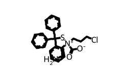 NCC[N+](CCCCl)(SC(c1ccccc1)(c1ccccc1)c1ccccc1)C(=O)[O-]